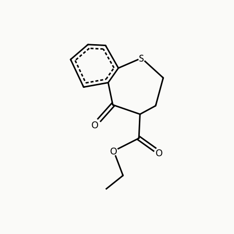 CCOC(=O)C1CCSc2ccccc2C1=O